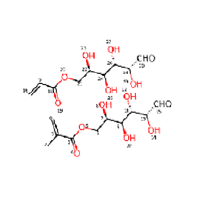 C=C(C)C(=O)OC[C@@H](O)[C@H](O)[C@H](O)[C@@H](O)C=O.C=CC(=O)OC[C@@H](O)[C@H](O)[C@H](O)[C@@H](O)C=O